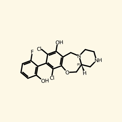 Oc1cccc(F)c1-c1c(Cl)c(O)c2c(c1Cl)OC[C@H]1CNCCN1C2